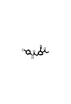 CCC(=O)c1ccc(CC(=O)Nc2ccc(Cl)cc2)cc1C#N